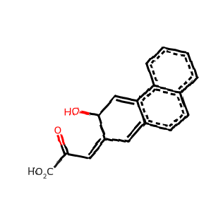 O=C(O)C(=O)C=C1C=c2ccc3ccccc3c2=CC1O